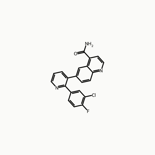 NC(=O)c1ccnc2ccc(-c3cccnc3-c3ccc(F)c(Cl)c3)cc12